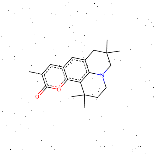 Cc1cc2cc3c4c(c2oc1=O)C(C)(C)CCN4CC(C)(C)C3